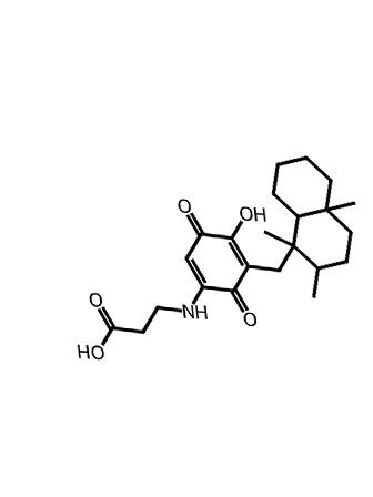 CC1CCC2(C)CCCCC2C1(C)CC1=C(O)C(=O)C=C(NCCC(=O)O)C1=O